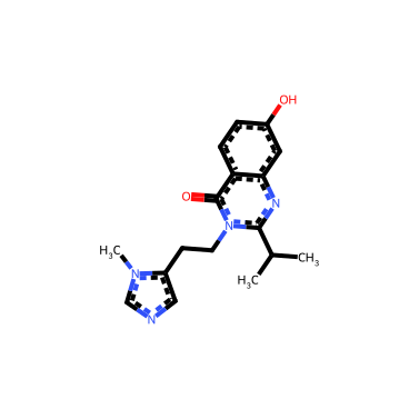 CC(C)c1nc2cc(O)ccc2c(=O)n1CCc1cncn1C